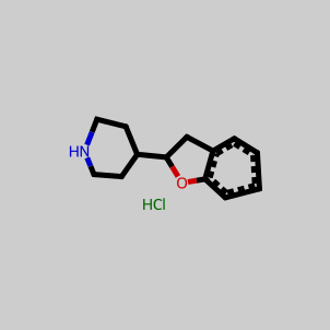 Cl.c1ccc2c(c1)CC(C1CCNCC1)O2